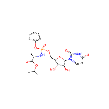 CC(C)OC(=O)[C@@H](C)NP(=O)(OC[C@H]1OC(n2ccc(=O)[nH]c2=O)[C@@H](O)[C@@H]1O)Oc1ccccc1